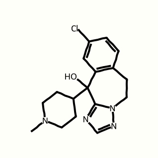 CN1CCC(C2(O)c3cc(Cl)ccc3CCn3ncnc32)CC1